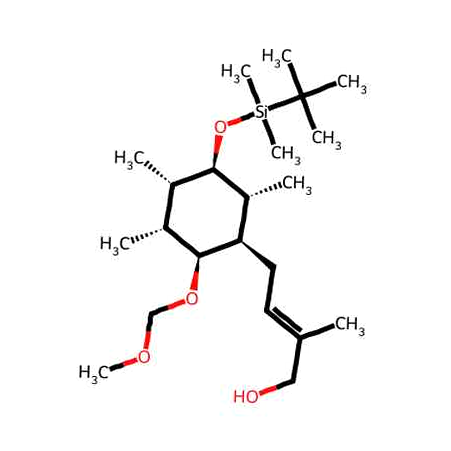 COCO[C@H]1[C@H](C)[C@H](C)[C@@H](O[Si](C)(C)C(C)(C)C)[C@H](C)[C@H]1C/C=C(\C)CO